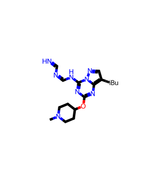 CCC(C)c1cnn2c(N/C=N\C=N)nc(OC3CCN(C)CC3)nc12